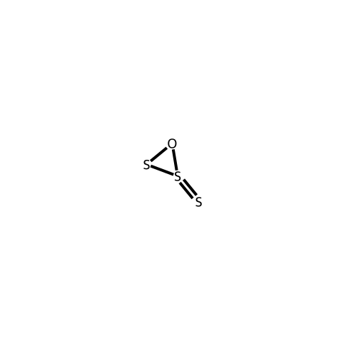 S=S1OS1